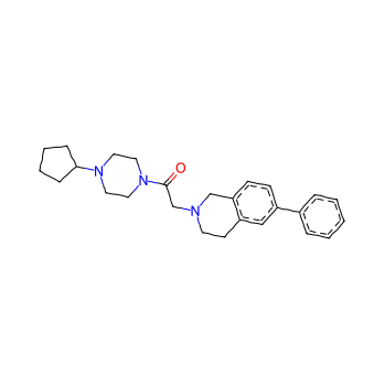 O=C(CN1CCc2cc(-c3ccccc3)ccc2C1)N1CCN(C2CCCC2)CC1